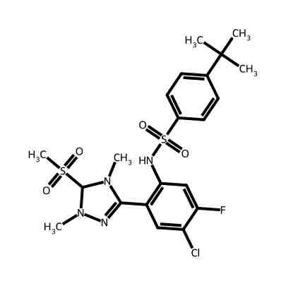 CN1N=C(c2cc(Cl)c(F)cc2NS(=O)(=O)c2ccc(C(C)(C)C)cc2)N(C)C1S(C)(=O)=O